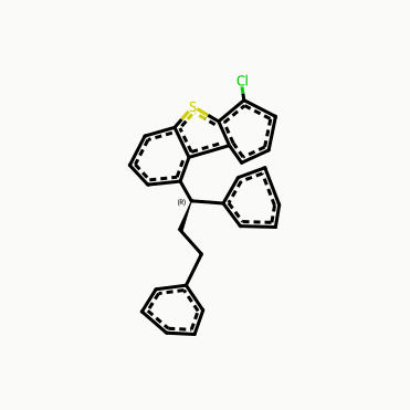 Clc1cccc2c1sc1cccc([C@H](CCc3ccccc3)c3ccccc3)c12